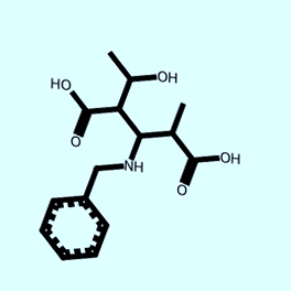 CC(O)C(C(=O)O)C(NCc1ccccc1)C(C)C(=O)O